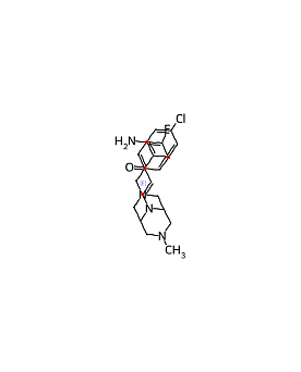 CN1CC2CN(Cc3ccc(F)cc3)CC(C1)N2/C=C/C(=O)c1ccc(Cl)cc1N